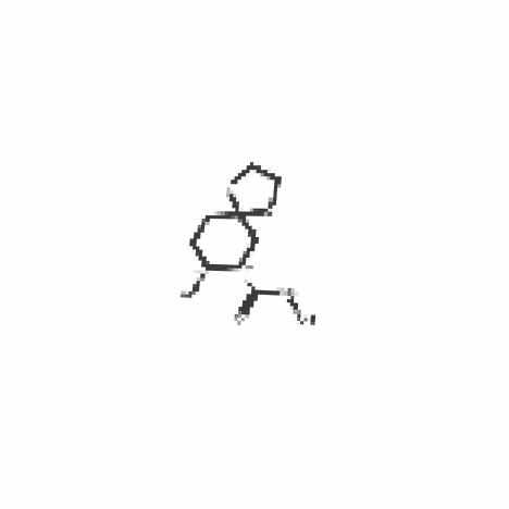 CC(=O)[C@H]1CCC2(C[C@@H]1C(=O)NO)SCCS2